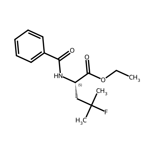 CCOC(=O)[C@H](CC(C)(C)F)NC(=O)c1ccccc1